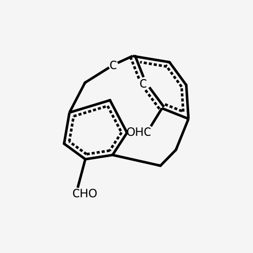 O=Cc1cc2ccc1CCc1ccc(cc1C=O)CC2